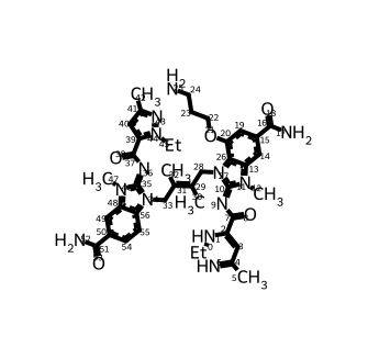 CCN/C(=C\C(C)=N)C(=O)/N=c1\n(C)c2cc(C(N)=O)cc(OCCCN)c2n1C/C(C)=C(\C)Cn1/c(=N/C(=O)c2cc(C)nn2CC)n(C)c2cc(C(N)=O)ccc21